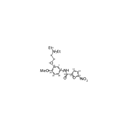 CCN(CC)CCOc1cc(NC(=O)c2ccc([N+](=O)[O-])o2)ccc1OC